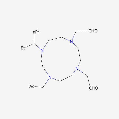 CCCC(CC)N1CCN(CC=O)CCN(CC=O)CCN(CC(C)=O)CC1